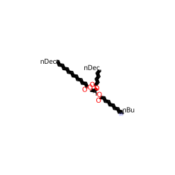 CCCC/C=C\CCCCCCCC(=O)OC[C@H](COC(=O)CCCCCCCCCCCCCCCCCCCCCCC)OC(=O)CCCCCCCCCCCCCCC